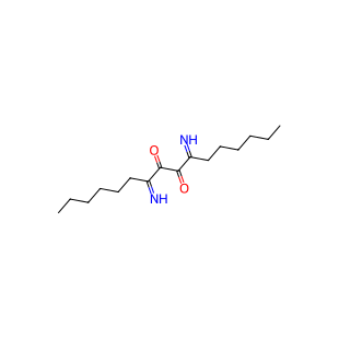 CCCCCCC(=N)C(=O)C(=O)C(=N)CCCCCC